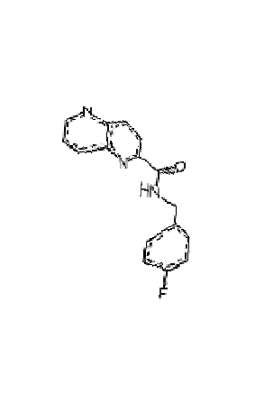 O=C(NCc1ccc(F)cc1)c1ccc2ncccc2n1